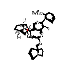 COc1ccccc1-c1ncc2c(N3C[C@H]4CC[C@@H](C3)N4C(=O)OC(C)(C)C)nc(OCC34CCCN3CCC4)nc2c1F